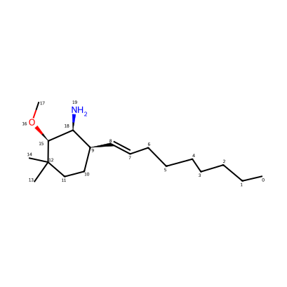 CCCCCCCC=C[C@H]1CCC(C)(C)[C@@H](OC)[C@H]1N